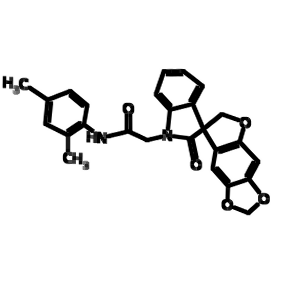 Cc1ccc(NC(=O)CN2C(=O)C3(COc4cc5c(cc43)OCO5)c3ccccc32)c(C)c1